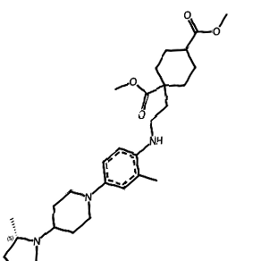 COC(=O)C1CCC(CCNc2ccc(N3CCC(N4CCC[C@@H]4C)CC3)cc2C)(C(=O)OC)CC1